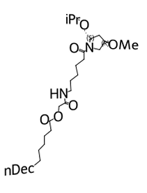 CCCCCCCCCCCCCCCC(=O)OCC(=O)NCCCCCC(=O)N1C[C@H](OC)C[C@H]1COC(C)C